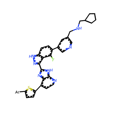 CC(=O)c1ccc(-c2ccnc3[nH]c(-c4n[nH]c5ccc(-c6cncc(CNCC7CCCC7)c6)c(F)c45)nc23)s1